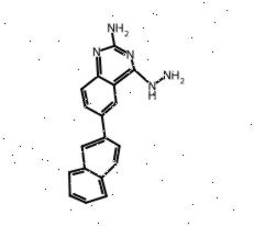 NNc1nc(N)nc2ccc(-c3ccc4ccccc4c3)cc12